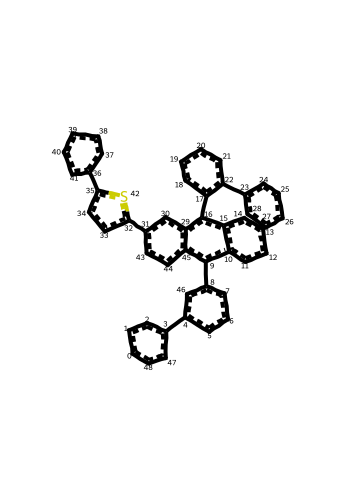 c1ccc(-c2cccc(-c3c4ccccc4c(-c4ccccc4-c4ccccc4)c4cc(-c5ccc(-c6ccccc6)s5)ccc34)c2)cc1